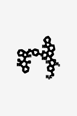 COc1ccc(NC(=O)c2cc3ccc4c5ccccc5[nH]c4c3c(N=Nc3ccc(/N=C4\N/C(=C5/C(=O)Nc6ccccc6C5=O)c5ccccc54)cc3)c2O)c(C)c1